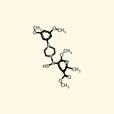 COC(=O)c1cc(N(S)N2CCN(c3cc(OC)cc(OC)c3)CC2)c(OC)nc1C